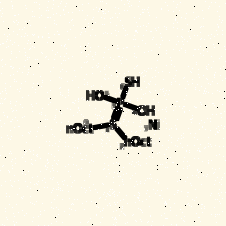 CCCCCCCCS(CCCCCCCC)=P(O)(O)S.[Ni]